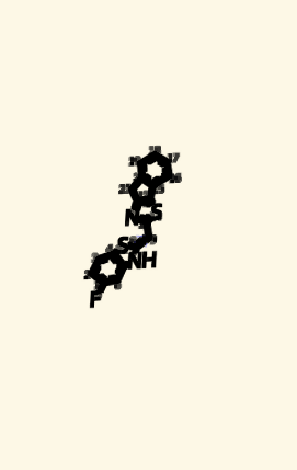 Fc1ccc2c(c1)N/C(=C/c1nc3c(s1)-c1ccccc1C3)S2